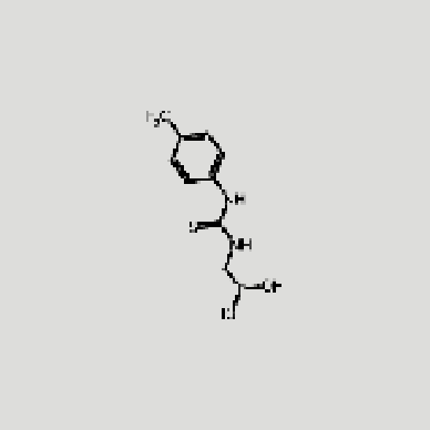 OP(O)CNC(=S)Nc1ccc(C(F)(F)F)cc1